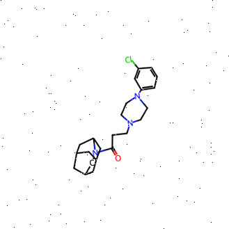 O=C(CCN1CCN(c2cccc(Cl)c2)CC1)N1CC2CC3CC(C2)CC1C3